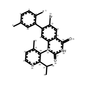 Cc1ccc(F)c(-c2cc3c(cc2Br)c(=O)[nH]c(=O)n3-c2c(C)ccnc2C(C)C)c1